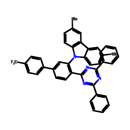 CC(C)(C)c1ccc2c(c1)c1cc(C(C)(C)C)ccc1n2-c1cc(-c2ccc(C(F)(F)F)cc2)ccc1-c1nc(-c2ccccc2)nc(-c2ccccc2)n1